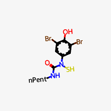 CCCCCNC(=O)N(S)c1cc(Br)c(O)c(Br)c1